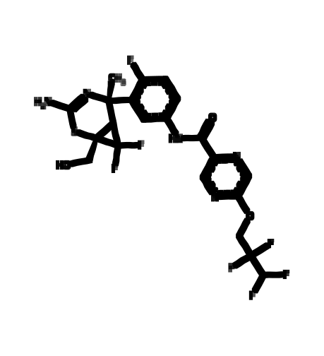 C[C@]1(c2cc(NC(=O)c3cnc(OCC(F)(F)C(F)F)cn3)ccc2F)N=C(N)S[C@]2(CO)C1C2(F)F